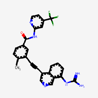 Cc1ccc(C(=O)Nc2cc(C(F)(F)F)ccn2)cc1C#Cc1cncc2c(NC(=N)N)cccc12